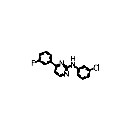 Fc1cccc(-c2ccnc(Nc3cccc(Cl)c3)n2)c1